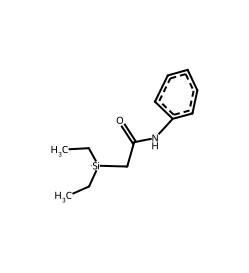 CC[Si](CC)CC(=O)Nc1ccccc1